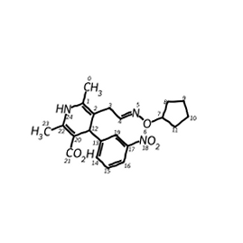 CC1=C(CC=NOC2CCCC2)C(c2cccc([N+](=O)[O-])c2)C(C(=O)O)=C(C)N1